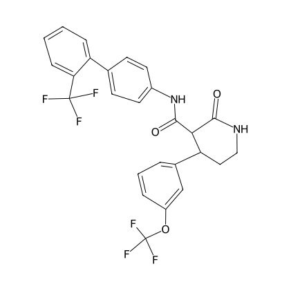 O=C1NCCC(c2cccc(OC(F)(F)F)c2)C1C(=O)Nc1ccc(-c2ccccc2C(F)(F)F)cc1